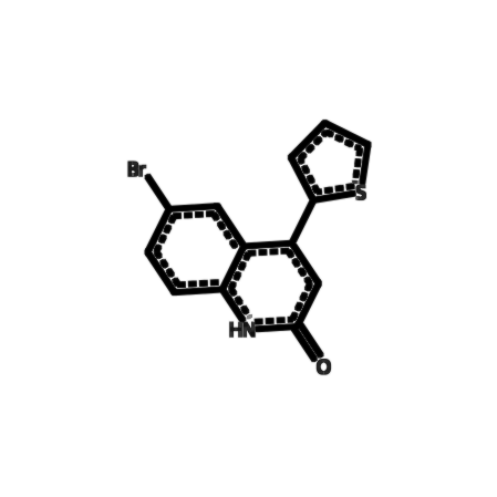 O=c1cc(-c2cccs2)c2cc(Br)ccc2[nH]1